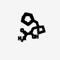 NC(=O)N(O)CC1(Cc2ccccc2)CCC1